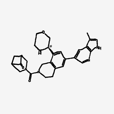 Cc1c[nH]c2ncc(-c3cc4c(c([C@@H]5COCCN5)c3)CN(C(=O)N3CC5CC(C3)C5=O)CC4)cc12